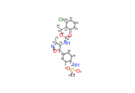 CCS(=O)(=O)Nc1ccc(-c2onc(C)c2NC(=O)OC(C)c2ccccc2Cl)cc1